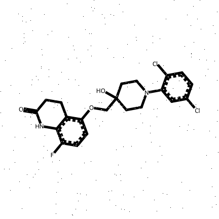 O=C1CCc2c(OCC3(O)CCN(c4cc(Cl)ccc4Cl)CC3)ccc(F)c2N1